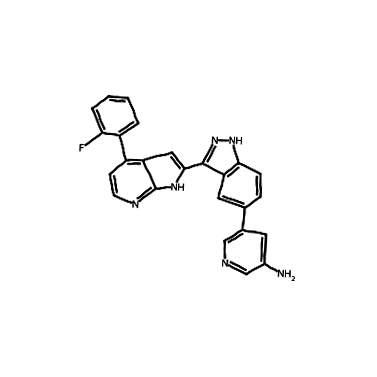 Nc1cncc(-c2ccc3[nH]nc(-c4cc5c(-c6ccccc6F)ccnc5[nH]4)c3c2)c1